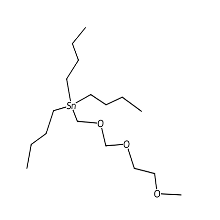 CCC[CH2][Sn]([CH2]CCC)([CH2]CCC)[CH2]OCOCCOC